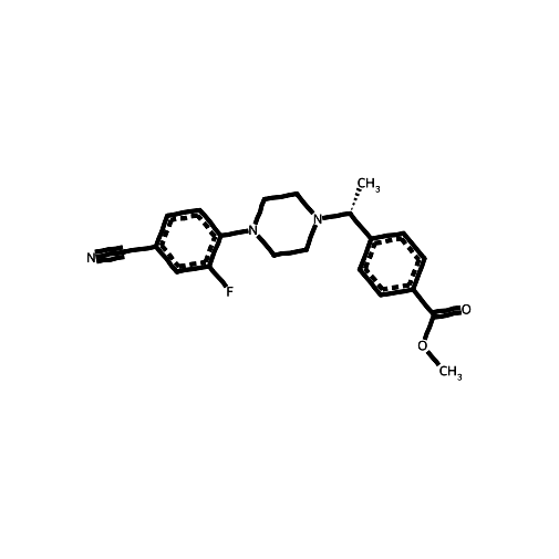 COC(=O)c1ccc([C@@H](C)N2CCN(c3ccc(C#N)cc3F)CC2)cc1